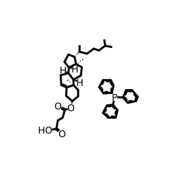 CC(C)CCCC(C)[C@H]1CC[C@H]2[C@@H]3CC=C4C[C@@H](OC(=O)CCC(=O)O)CC[C@]4(C)[C@H]3CC[C@]12C.c1ccc(P(c2ccccc2)c2ccccc2)cc1